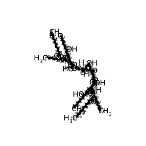 CCCCCC/C=C/CCCC(=O)O[C@H](CCCCCCC)CC(=O)NC(COCC[C@H](O)CCCCCCC)COP(=O)(O)OCCNC(=O)c1cc(O)cc(C(=O)NCCOP(=O)(O)OCC(COCC[C@H](O)CCCCCCC)NC(=O)C[C@@H](CCCCCCC)OC(=O)CCC/C=C/CCCCCC)c1